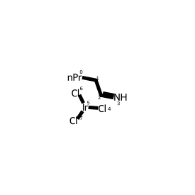 CCCCC=N.[Cl][Ir]([Cl])[Cl]